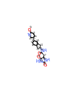 COc1ccc(-c2ccc3c(c2)CC(NC(=O)CC2NC(=O)NC2=O)C3)cn1